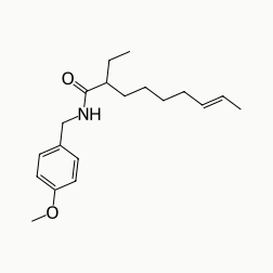 C/C=C/CCCCC(CC)C(=O)NCc1ccc(OC)cc1